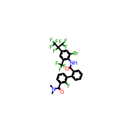 CN(C)C(=O)c1cccc(-c2ccccc2C(=O)Nc2c(Br)cc(C(F)(C(F)(F)F)C(F)(F)F)cc2C(F)(F)F)c1F